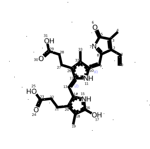 C=CC1=C(C)C(=O)N=C1/C=c1/[nH]/c(=C\c2[nH]c(O)c(C)c2CCC(=O)O)c(CCC(=O)O)c1C